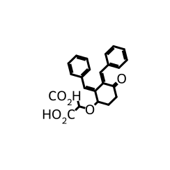 O=C1CCC(OC(C(=O)O)C(=O)O)C(=Cc2ccccc2)C1=Cc1ccccc1